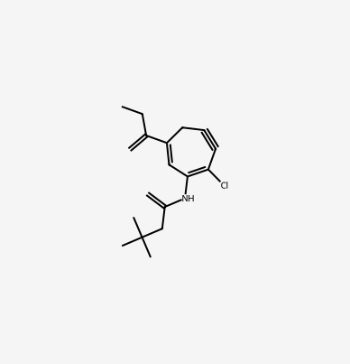 C=C(CC(C)(C)C)NC1=C(Cl)C#CCC(C(=C)CC)=C1